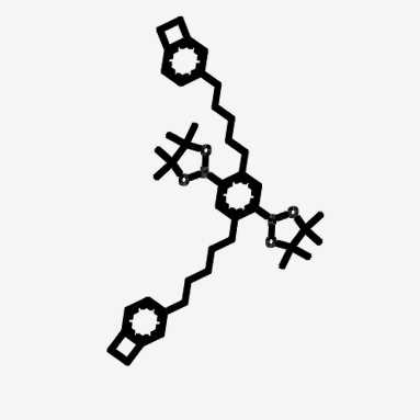 CC1(C)OB(c2cc(CCCCCc3ccc4c(c3)CC4)c(B3OC(C)(C)C(C)(C)O3)cc2CCCCCc2ccc3c(c2)CC3)OC1(C)C